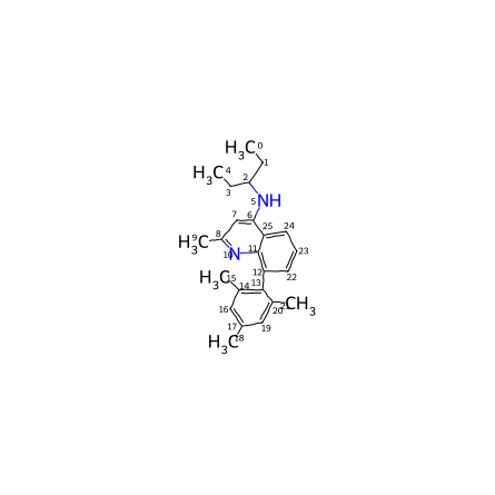 CCC(CC)Nc1cc(C)nc2c(-c3c(C)cc(C)cc3C)cccc12